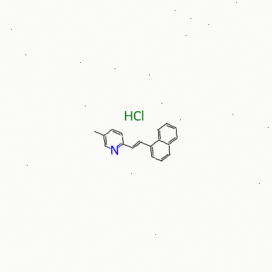 Cc1ccc(C=Cc2cccc3ccccc23)nc1.Cl